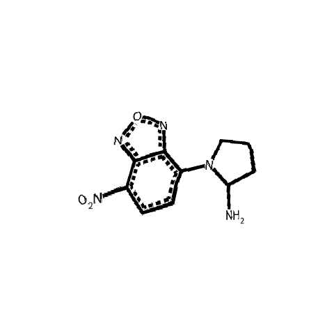 NC1CCCN1c1ccc([N+](=O)[O-])c2nonc12